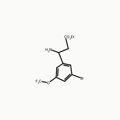 CCOC(=O)CC(N)c1cc(Br)cc(OC(F)(F)F)c1